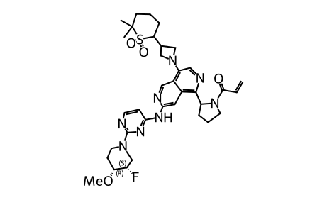 C=CC(=O)N1CCCC1c1ncc(N2CC(C3CCCC(C)(C)S3(=O)=O)C2)c2cnc(Nc3ccnc(N4CC[C@@H](OC)[C@@H](F)C4)n3)cc12